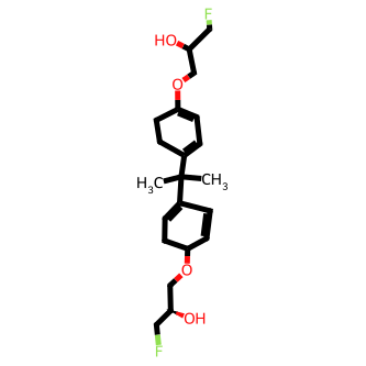 CC(C)(C1=CCC(OC[C@@H](O)CF)C=C1)C1=CC=C(OCC(O)CF)CC1